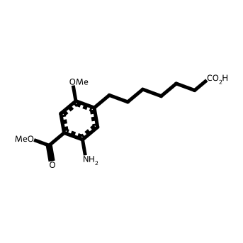 COC(=O)c1cc(OC)c(CCCCCCC(=O)O)cc1N